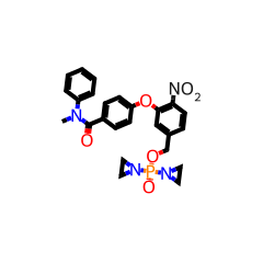 CN(C(=O)c1ccc(Oc2cc(COP(=O)(N3CC3)N3CC3)ccc2[N+](=O)[O-])cc1)c1ccccc1